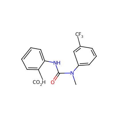 CN(C(=O)Nc1ccccc1C(=O)O)c1cccc(C(F)(F)F)c1